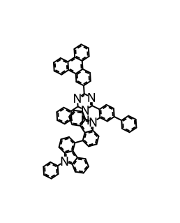 c1ccc(-c2ccc(C3=NC(c4ccc5c6ccccc6c6ccccc6c5c4)=NC(c4ccccc4)N3)c(-n3c4ccccc4c4c(-c5cccc6c5c5ccccc5n6-c5ccccc5)cccc43)c2)cc1